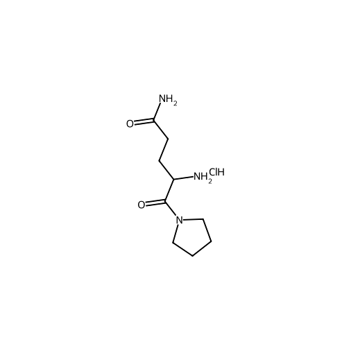 Cl.NC(=O)CCC(N)C(=O)N1CCCC1